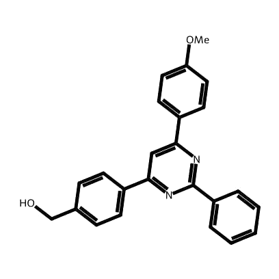 COc1ccc(-c2cc(-c3ccc(CO)cc3)nc(-c3ccccc3)n2)cc1